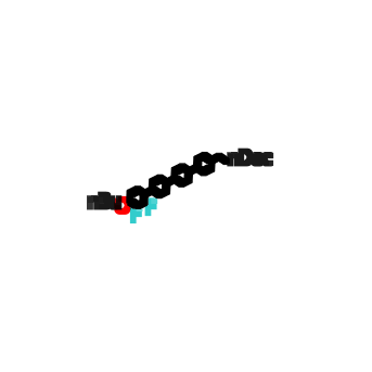 CCCCCCCCCCCCc1ccc(-c2ccc(-c3ccc(-c4ccc(OCCCC)c(F)c4F)cc3)cc2)cc1